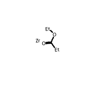 CCOC(=O)CC.[Zr]